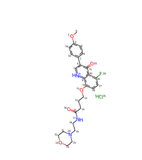 COc1ccc(-c2c[nH]c3c(OCCCC(=O)NCCN4CCOCC4)ccc(F)c3c2=O)cc1.Cl